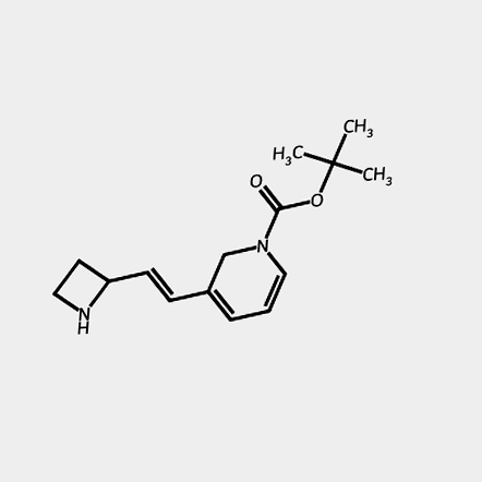 CC(C)(C)OC(=O)N1C=CC=C(C=CC2CCN2)C1